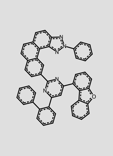 c1ccc(-c2ccccc2-c2cc(-c3cccc4oc5ccccc5c34)nc(-c3ccc4ccc5ccc6nn(-c7ccccc7)nc6c5c4c3)n2)cc1